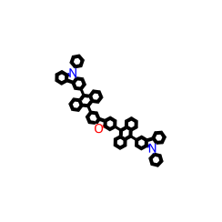 c1ccc(-n2c3ccccc3c3cc(-c4c5ccccc5c(-c5ccc6c(c5)oc5ccc(-c7c8ccccc8c(-c8ccc9c(c8)c8ccccc8n9-c8ccccc8)c8ccccc78)cc56)c5ccccc45)ccc32)cc1